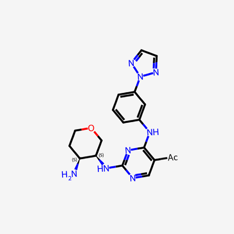 CC(=O)c1cnc(N[C@@H]2COCC[C@@H]2N)nc1Nc1cccc(-n2nccn2)c1